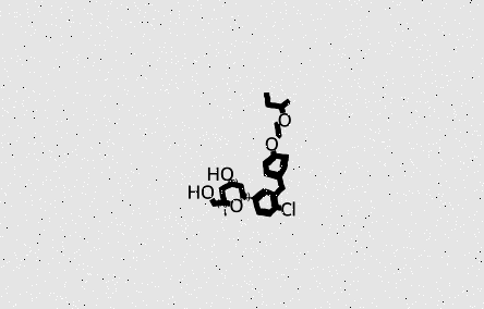 CCC(C)OCCOc1ccc(Cc2cc([C@H]3C[C@@H](O)C[C@](C)(CO)O3)ccc2Cl)cc1